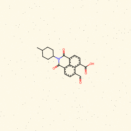 CC1CCC(N2C(=O)c3ccc(C=O)c4c(C(=O)O)ccc(c34)C2=O)CC1